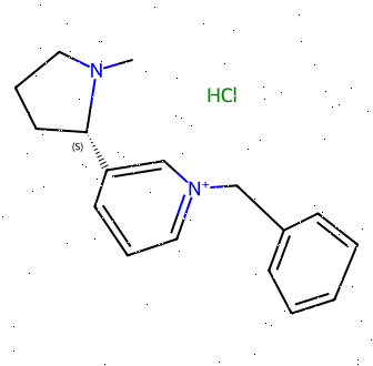 CN1CCC[C@H]1c1ccc[n+](Cc2ccccc2)c1.Cl